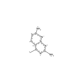 Cc1nc(N)nc2nc(N)ccc12